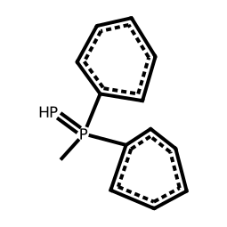 CP(=P)(c1ccccc1)c1ccccc1